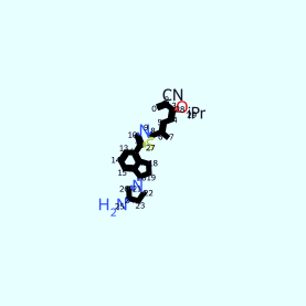 C=C(C#N)/C(=C\C=C(/C)c1ncc(-c2cccc3c2CCC3N2CCC(N)C2)s1)OC(C)C